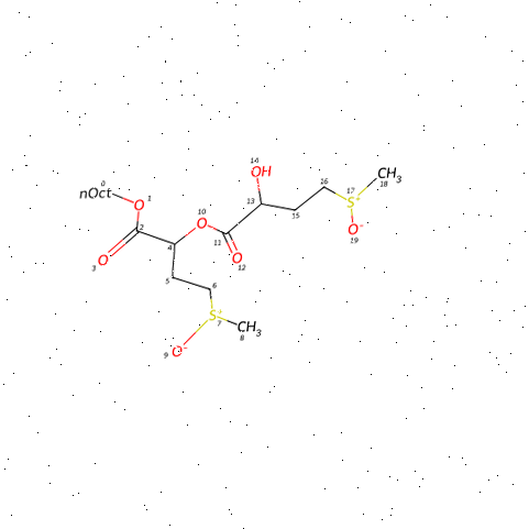 CCCCCCCCOC(=O)C(CC[S+](C)[O-])OC(=O)C(O)CC[S+](C)[O-]